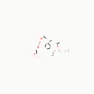 C=C(C)C(=O)OCC1CO1.C=C(C)C(=O)OCCCC.C=CC(=O)O.C=Cc1ccccc1.[NaH]